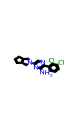 Nc1nc(N2CC3CCCC3C2)cnc1-c1cccc(Cl)c1Cl